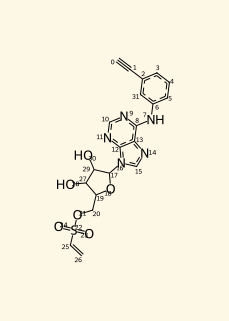 C#Cc1cccc(Nc2ncnc3c2ncn3C2OC(COS(=O)(=O)C=C)C(O)C2O)c1